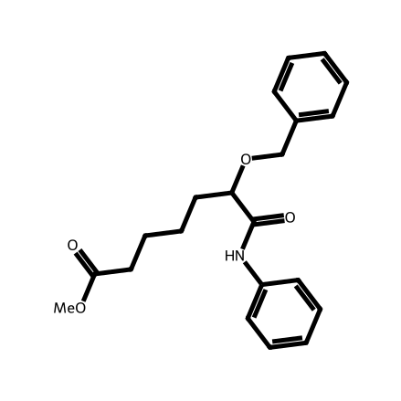 COC(=O)CCCCC(OCc1ccccc1)C(=O)Nc1ccccc1